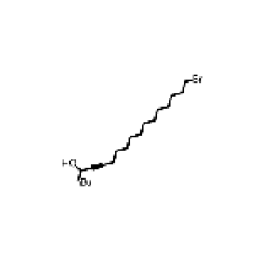 CCCCC(O)C#CCCCCCCCCCCCCBr